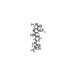 N#C[C@@]1(C2CC2)CCN(c2ccnc(Nc3cc(C(F)(F)F)c(C(N)=O)cn3)c2)C1=O